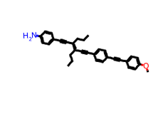 CCC/C(C#Cc1ccc(N)cc1)=C(\C#Cc1ccc(C#Cc2ccc(OC)cc2)cc1)CCC